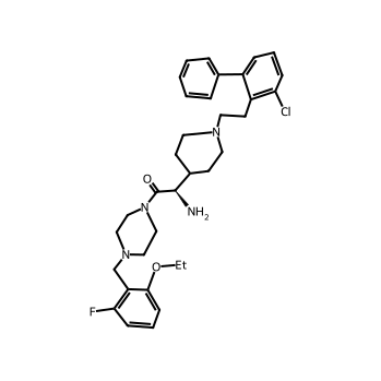 CCOc1cccc(F)c1CN1CCN(C(=O)[C@H](N)C2CCN(CCc3c(Cl)cccc3-c3ccccc3)CC2)CC1